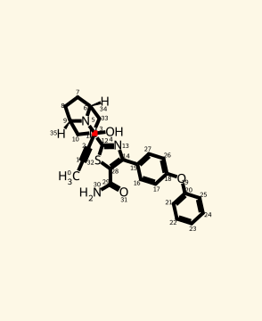 CC#CC(O)N1[C@@H]2CC[C@H]1CN(c1nc(-c3ccc(Oc4ccccc4)cc3)c(C(N)=O)s1)C2